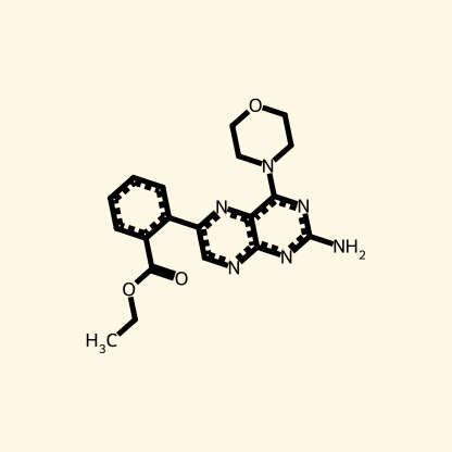 CCOC(=O)c1ccccc1-c1cnc2nc(N)nc(N3CCOCC3)c2n1